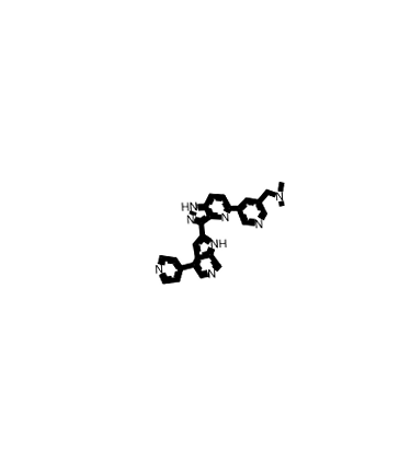 CN(C)Cc1cncc(-c2ccc3[nH]nc(-c4cc5c(-c6ccncc6)cncc5[nH]4)c3n2)c1